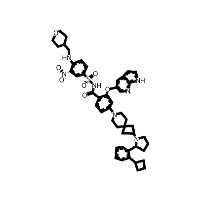 O=C(NS(=O)(=O)c1ccc(NCC2CCOCC2)c([N+](=O)[O-])c1)c1ccc(N2CCC3(CC2)CC(N2CCCC2c2ccccc2C2CCC2)C3)cc1Oc1cnc2[nH]ccc2c1